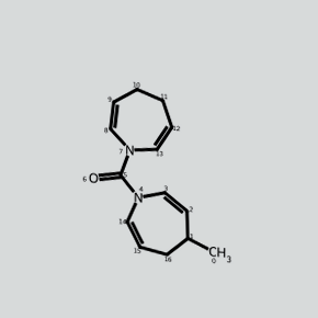 CC1C=CN(C(=O)N2C=CCCC=C2)C=CC1